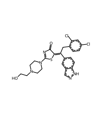 O=C1N=C(N2CCN(CCO)CC2)SC1=C(Cc1ccc(Cl)cc1Cl)c1ccc2[nH]ncc2c1